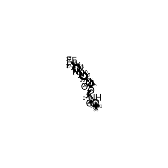 C[C@@H](COC1CCN(C2CCN(c3ncc(C(F)(F)F)cn3)CC2)C1=O)NC(=O)OC(C)(C)C